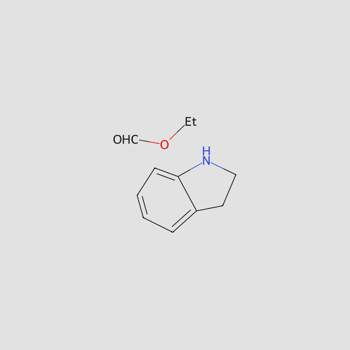 CCOC=O.c1ccc2c(c1)CCN2